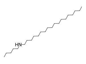 CCCCCCCCCCCCCCCCCCNCCCCC